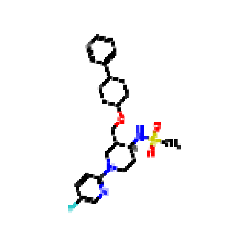 CS(=O)(=O)N[C@H]1CCN(c2ccc(F)cn2)CC1COC1CCC(c2ccccc2)CC1